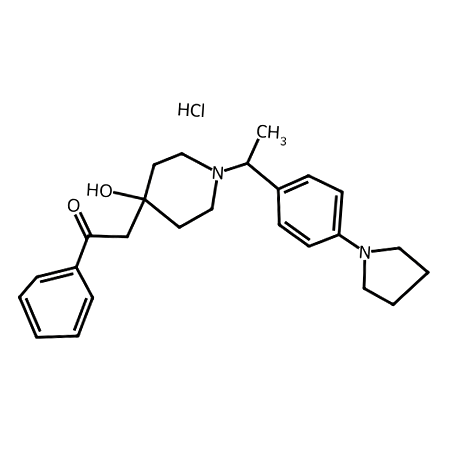 CC(c1ccc(N2CCCC2)cc1)N1CCC(O)(CC(=O)c2ccccc2)CC1.Cl